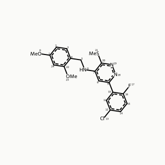 COc1ccc(CNc2cc(-c3cc(Cl)ccc3F)nnc2SC)c(OC)c1